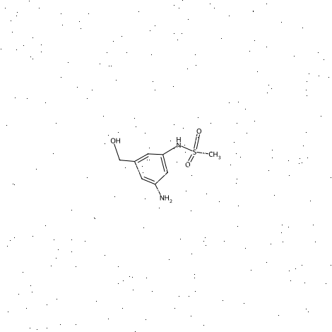 CS(=O)(=O)Nc1cc(N)cc(CO)c1